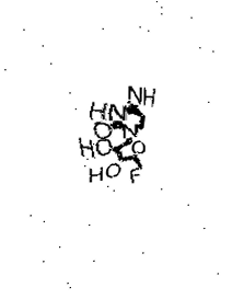 N=c1ccn(C2OC(CF)C(O)C2O)c(=O)[nH]1